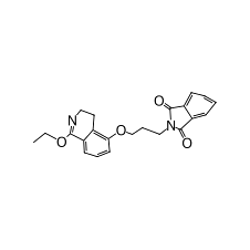 CCOC1=NCCc2c(OCCCN3C(=O)c4ccccc4C3=O)cccc21